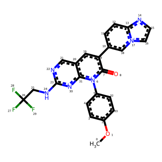 COc1ccc(-n2c(=O)c(-c3ccc4nccn4c3)cc3cnc(NCC(F)(F)F)nc32)cc1